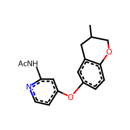 CC(=O)Nc1cc(Oc2ccc3c(c2)CC(C)CO3)ccn1